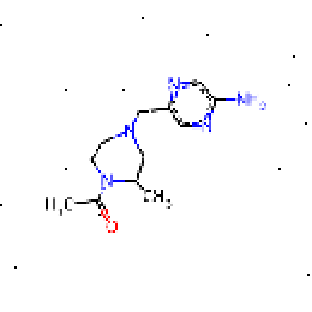 CC(=O)N1CCN(Cc2cnc(N)cn2)CC1C